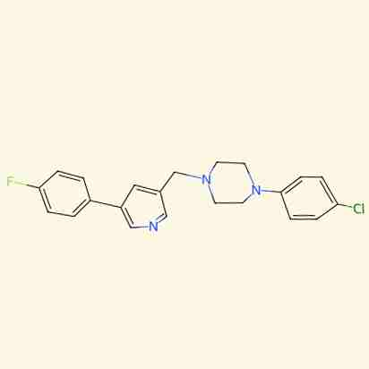 Fc1ccc(-c2cncc(CN3CCN(c4ccc(Cl)cc4)CC3)c2)cc1